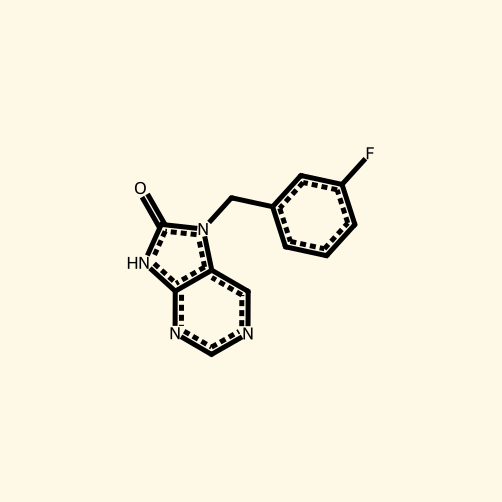 O=c1[nH]c2ncncc2n1Cc1cccc(F)c1